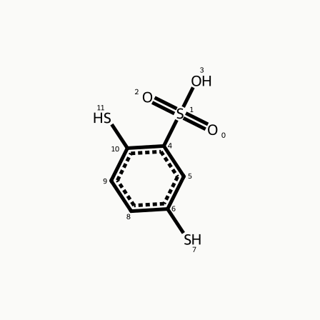 O=S(=O)(O)c1cc(S)ccc1S